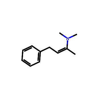 C/C(=C/Cc1ccccc1)N(C)C